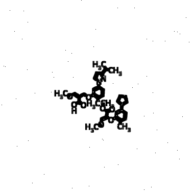 CO/C=C(/COc1cc(-n2ccc(C(C)C)n2)ccc1C)C(=O)O.CO/C=C(\Oc1cc(C2CCCC2)ccc1C)C(=O)OC